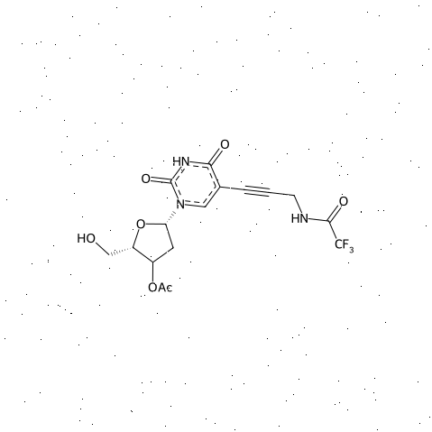 CC(=O)OC1C[C@@H](n2cc(C#CCNC(=O)C(F)(F)F)c(=O)[nH]c2=O)O[C@H]1CO